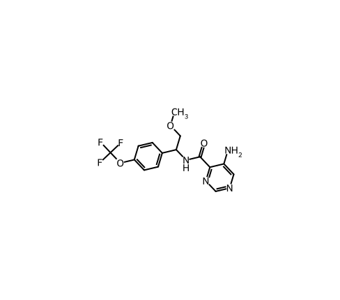 COCC(NC(=O)c1ncncc1N)c1ccc(OC(F)(F)F)cc1